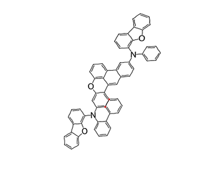 c1ccc(-c2ccccc2N(c2ccc3c(c2)Oc2cccc4c2c-3cc2ccc(N(c3ccccc3)c3cccc5c3oc3ccccc35)cc24)c2cccc3c2oc2ccccc23)cc1